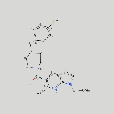 COCn1ccc2cc(C(=O)N3CCC(Cc4ccc(F)cc4)CC3)c(OC)nc21